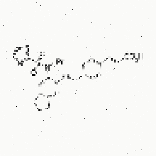 CC(C)N(c1cc2c(cc1OCc1ccc(/C=C/C(=O)O)cc1)CCC2)S(=O)(=O)c1nccs1